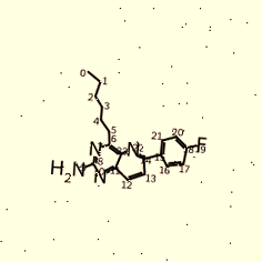 CCCCCCc1nc(N)nc2ccc(-c3ccc(F)cc3)nc12